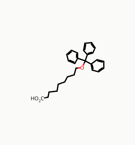 O=C(O)CCCCCCCCOC(c1ccccc1)(c1ccccc1)c1ccccc1